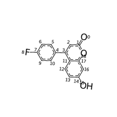 O=c1cc(-c2ccc(F)cc2)c2ccc(O)cc2o1